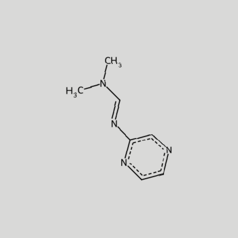 CN(C)C=Nc1cnccn1